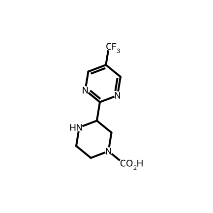 O=C(O)N1CCNC(c2ncc(C(F)(F)F)cn2)C1